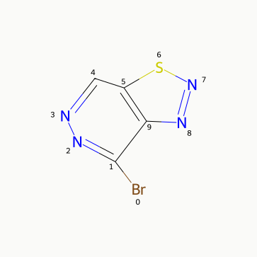 Brc1nncc2snnc12